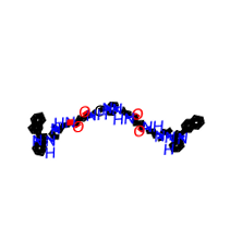 CC(CN(C)CCCNC(=O)CCC(=O)NCCCN1CCN(CCCNC(=O)CCC(=O)NCCCN(C)CC(C)Nc2cc(-c3ccc4ccccc4c3)nc3ccccc23)CC1)Nc1cc(-c2ccc3ccccc3c2)nc2ccccc12